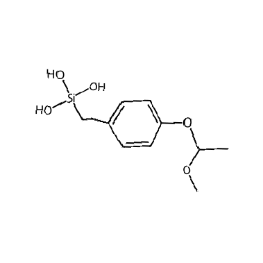 COC(C)Oc1ccc(C[Si](O)(O)O)cc1